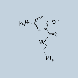 NCCNC(=O)c1cc(N)ccc1O